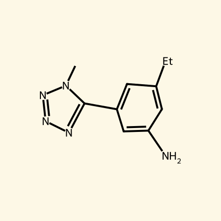 CCc1cc(N)cc(-c2nnnn2C)c1